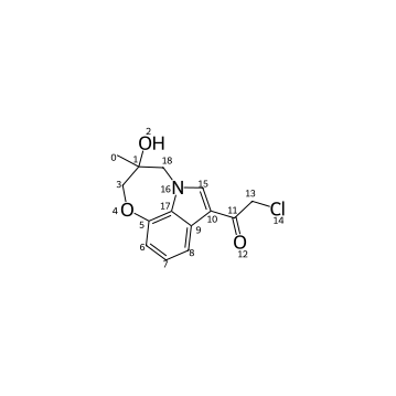 CC1(O)COc2cccc3c(C(=O)CCl)cn(c23)C1